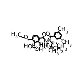 CCOCc1ccc(C(=O)NN(C(=O)c2cc(C)cc(C)c2)[C@H](CC)C(C)(C)C)c(F)c1B(O)O